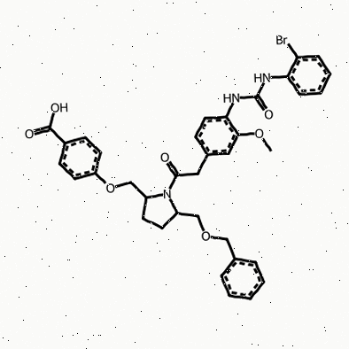 COc1cc(CC(=O)N2C(COCc3ccccc3)CCC2COc2ccc(C(=O)O)cc2)ccc1NC(=O)Nc1ccccc1Br